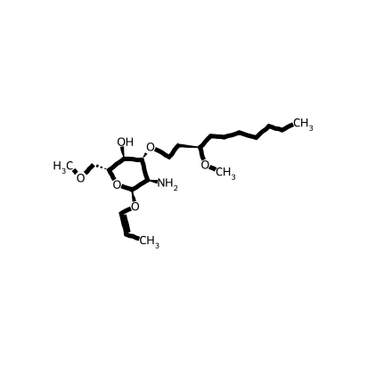 C/C=C\O[C@H]1O[C@H](COC)[C@@H](O)[C@H](OCC[C@@H](CCCCCCC)OC)[C@H]1N